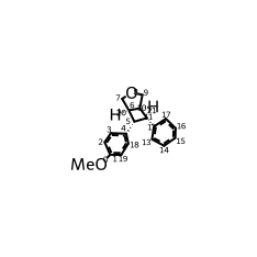 COc1ccc([C@@H]2[C@H]3COC[C@H]3[C@@H]2c2ccccc2)cc1